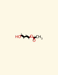 CC(=O)OC=CC=CO